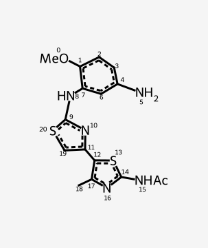 COc1ccc(N)cc1Nc1nc(-c2sc(NC(C)=O)nc2C)cs1